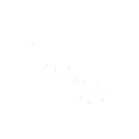 CC(C)N1CCC(Oc2ccc(N3CCN(C(=O)c4cccc5ccc(=O)[nH]c45)CC3=O)cc2)CC1